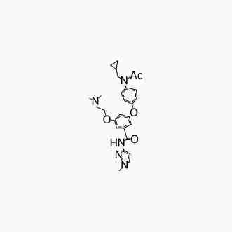 CC(=O)N(CC1CC1)c1ccc(Oc2cc(OCCN(C)C)cc(C(=O)Nc3ccn(C)n3)c2)cc1